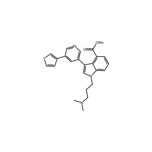 COC(=O)c1cccc2c1c(-c1cncc(-c3ccsc3)c1)cn2CCCN(C)C